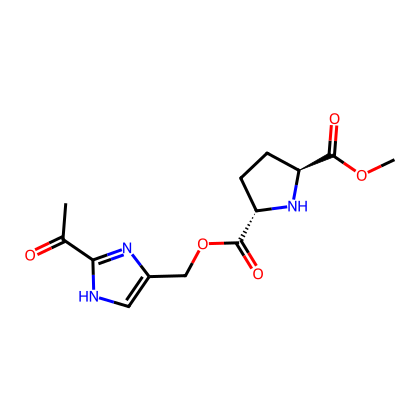 COC(=O)[C@@H]1CC[C@@H](C(=O)OCc2c[nH]c(C(C)=O)n2)N1